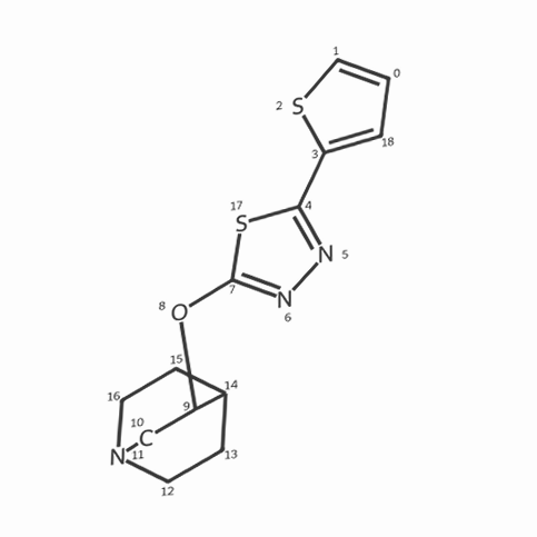 c1csc(-c2nnc(OC3CN4CCC3CC4)s2)c1